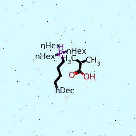 CC(C)C(=O)O.CCCCCCCCCCCCCC[PH](CCCCCC)(CCCCCC)CCCCCC